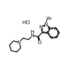 CC(C)n1nc(C(=O)NCCN2CCCCC2)c2ccccc21.Cl